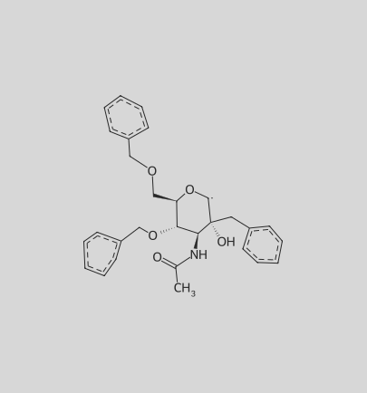 CC(=O)N[C@H]1[C@H](OCc2ccccc2)[C@@H](COCc2ccccc2)O[CH][C@@]1(O)Cc1ccccc1